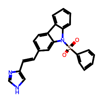 O=S(=O)(c1ccccc1)n1c2ccccc2c2ccc(C=Cc3c[nH]cn3)cc21